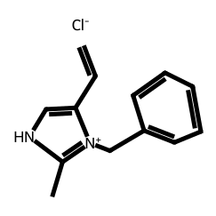 C=Cc1c[nH]c(C)[n+]1Cc1ccccc1.[Cl-]